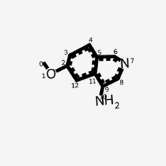 COc1ccc2cncc(N)c2c1